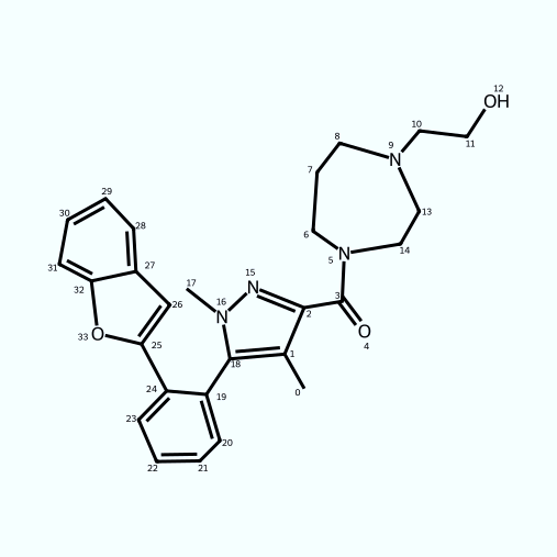 Cc1c(C(=O)N2CCCN(CCO)CC2)nn(C)c1-c1ccccc1-c1cc2ccccc2o1